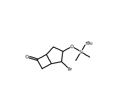 CC(C)(C)[Si](C)(C)OC1CC2C(=O)CC2C1Br